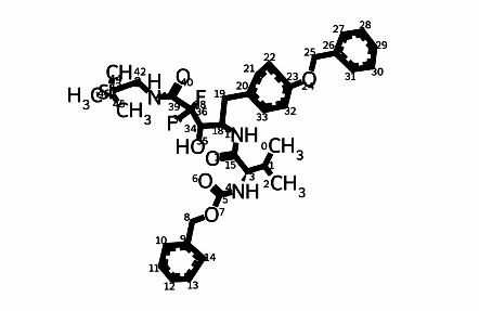 CC(C)[C@H](NC(=O)OCc1ccccc1)C(=O)NC(Cc1ccc(OCc2ccccc2)cc1)C(O)C(F)(F)C(=O)NC[Si](C)(C)C